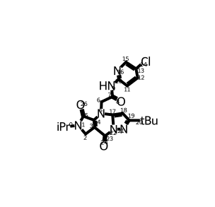 CC(C)N1Cc2c(n(CC(=O)Nc3ccc(Cl)cn3)c3cc(C(C)(C)C)nn3c2=O)C1=O